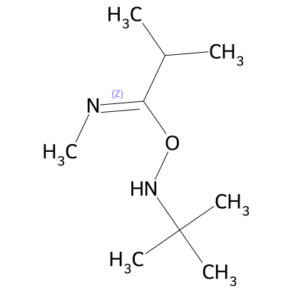 C/N=C(\ONC(C)(C)C)C(C)C